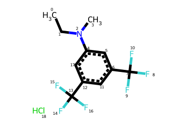 CCN(C)c1cc(C(F)(F)F)cc(C(F)(F)F)c1.Cl